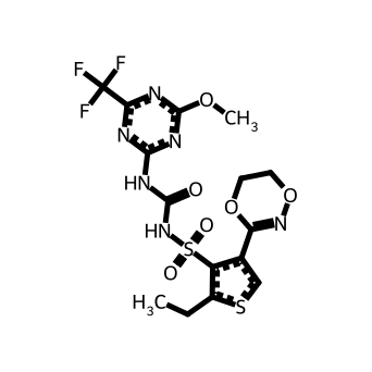 CCc1scc(C2=NOCCO2)c1S(=O)(=O)NC(=O)Nc1nc(OC)nc(C(F)(F)F)n1